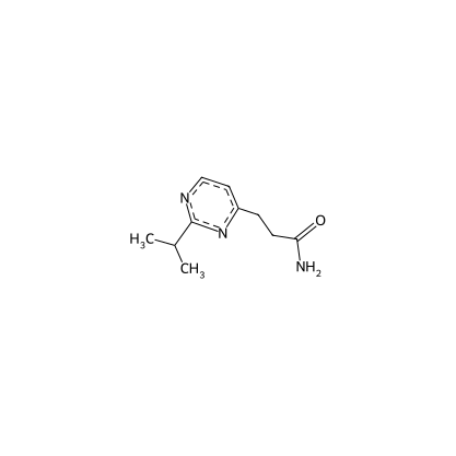 CC(C)c1nccc(CCC(N)=O)n1